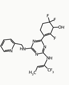 CC=C(Nc1nc(NCc2ccccn2)nc(C2=C(F)C(O)C(F)(F)CC2)n1)C(F)(F)F